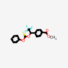 COC(=O)c1ccc(C(OC(=S)Oc2ccccc2)C(F)(F)F)cc1